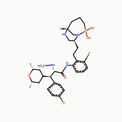 C[C@@H]1CC([C@H](c2ccc(Cl)cc2)[C@H](NC(=O)O)C(=O)Nc2cccc(F)c2CC[C@H]2CN[C@@H]3CCCS(O)(O)N2C3)C[C@H](C)O1